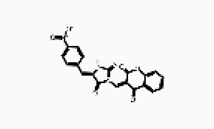 O=C1Oc2ccccc2C(=O)C1=CN1C(=O)C(=Cc2ccc([N+](=O)[O-])cc2)NC1=S